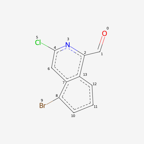 O=Cc1nc(Cl)cc2c(Br)cccc12